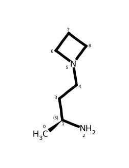 C[C@H](N)CCN1CCC1